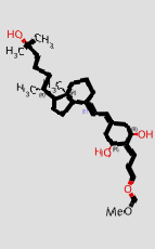 COCOCCC=C1[C@H](O)CC(=C/C=C2\CCC[C@@]3(C)C2CCC3[C@H](C)CCCC(C)(C)O)C[C@H]1O